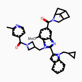 COc1cc(C(=O)N2CC3CC4CC2[C@H]43)cc2nc(-c3cc4ccccc4n3CC3CC3)n(CC3CN(C(=O)c4ccnc(C)c4)C3)c12